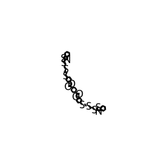 O=C(Oc1ccc(SCCSCCSc2nc3ccccc3s2)cc1)[C@H]1CC[C@H](C(=O)Oc2ccc(SCCSCCSc3nc4ccccc4s3)cc2)CC1